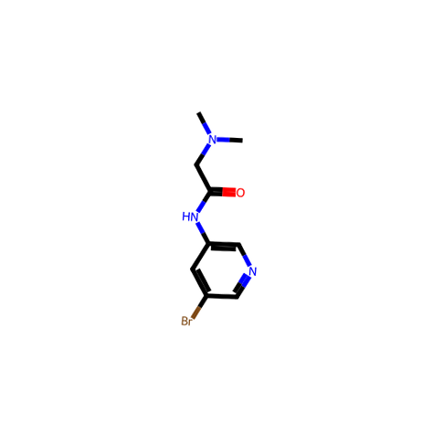 CN(C)CC(=O)Nc1cncc(Br)c1